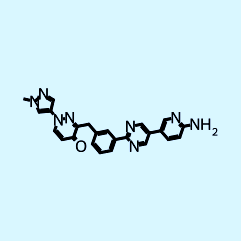 Cn1cc(-n2ccc(=O)c(Cc3cccc(-c4ncc(-c5ccc(N)nc5)cn4)c3)n2)cn1